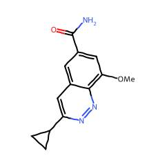 COc1cc(C(N)=O)cc2cc(C3CC3)nnc12